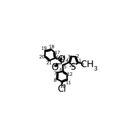 Cc1ccc(C(c2ccc(Cl)cc2)S(=O)(=O)c2ccccc2)s1